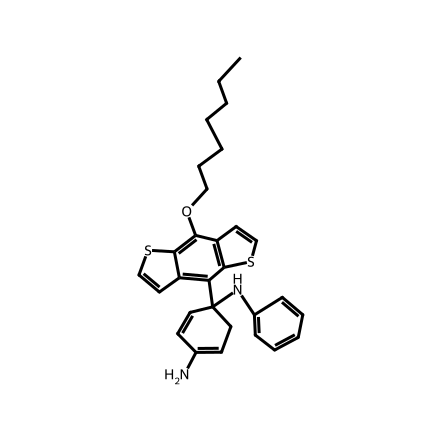 CCCCCCCOc1c2ccsc2c(C2(Nc3ccccc3)C=CC(N)=CC2)c2ccsc12